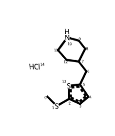 CSc1ccc(CC2CCNCC2)s1.Cl